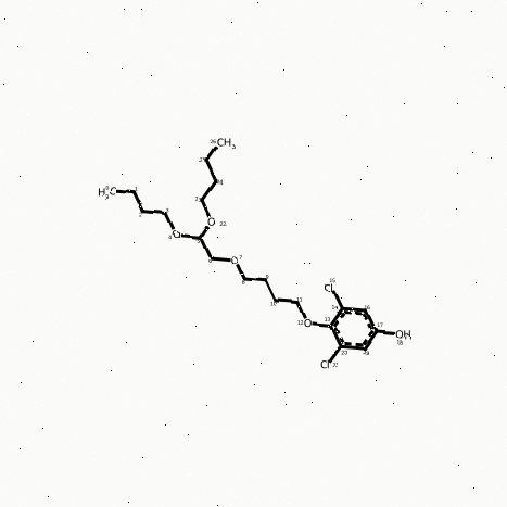 CCCCOC(COCCCCOc1c(Cl)cc(O)cc1Cl)OCCCC